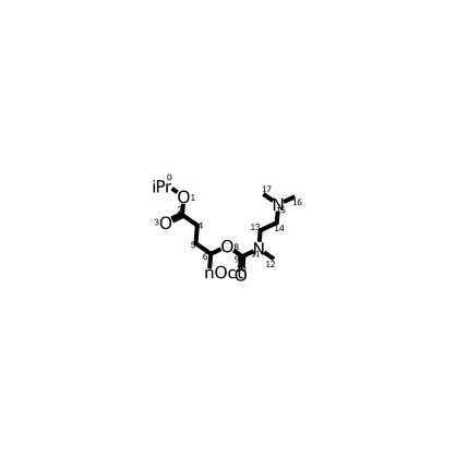 [CH2]C([CH2])OC(=O)CCC(CCCCCCCC)OC(=O)N(C)CCN(C)C